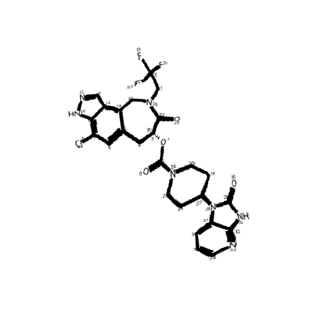 O=C(O[C@@H]1Cc2cc(Cl)c3[nH]ncc3c2CN(CC(F)(F)F)C1=O)N1CCC(n2c(=O)[nH]c3ncccc32)CC1